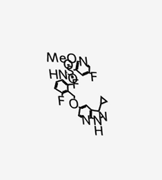 COc1ncc(F)cc1S(=O)(=O)Nc1ccc(F)c(COc2cnc3[nH]nc(C4CC4)c3c2)c1F